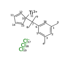 Cc1cc(C)cc(C(C)(C)[C]2([Ti+3])C=CC=C2)c1.[Cl-].[Cl-].[Cl-]